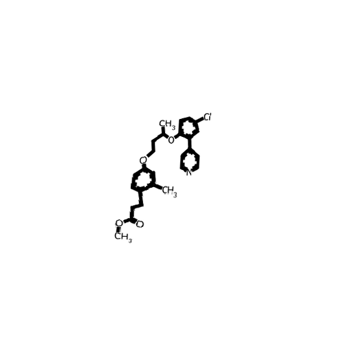 COC(=O)CCc1ccc(OCCC(C)Oc2ccc(Cl)cc2-c2ccncc2)cc1C